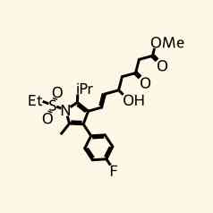 CCS(=O)(=O)n1c(C)c(-c2ccc(F)cc2)c(C=CC(O)CC(=O)CC(=O)OC)c1C(C)C